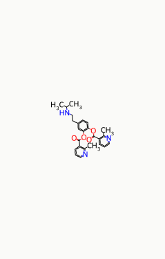 Cc1ncccc1C(=O)Oc1ccc(CCNC(C)C)cc1OC(=O)c1cccnc1C